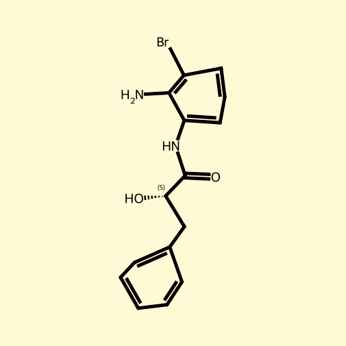 Nc1c(Br)cccc1NC(=O)[C@@H](O)Cc1ccccc1